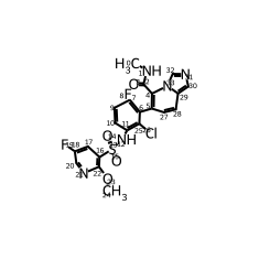 CNC(=O)c1c(-c2c(F)ccc(NS(=O)(=O)c3cc(F)cnc3OC)c2Cl)ccc2cncn12